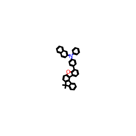 CC1(C)c2ccccc2-c2c1ccc1oc3c(-c4ccc(N(c5ccccc5)c5ccc6ccccc6c5)cc4)cccc3c21